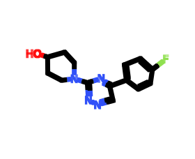 OC1CCN(c2nncc(-c3ccc(F)cc3)n2)CC1